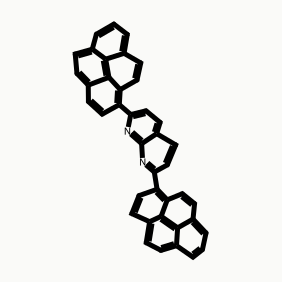 c1cc2ccc3ccc(-c4ccc5ccc(-c6ccc7ccc8cccc9ccc6c7c89)nc5n4)c4ccc(c1)c2c34